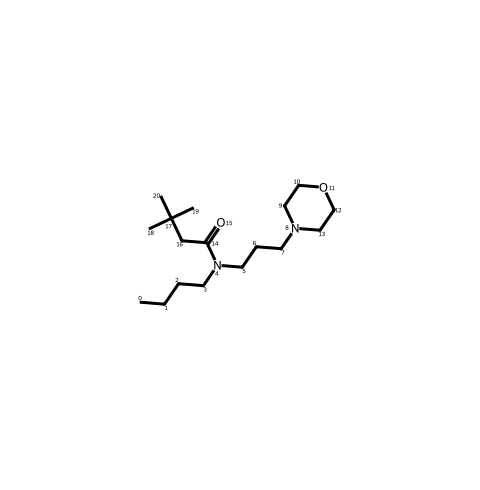 CCCCN(CCCN1CCOCC1)C(=O)CC(C)(C)C